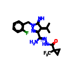 CC(C)=C1C(=N)N(Cc2ccccc2F)N=C1/C(N)=N/NC(=O)C1(C(F)(F)F)CC1